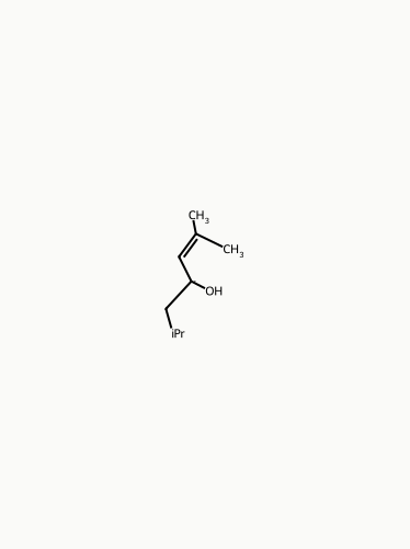 CC(C)=C[C](O)CC(C)C